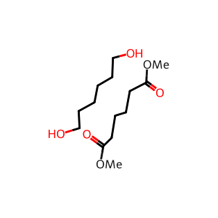 COC(=O)CCCCC(=O)OC.OCCCCCCO